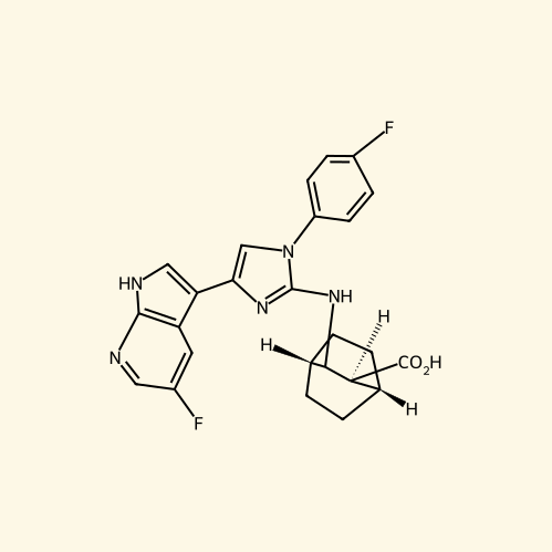 O=C(O)[C@@H]1C(Nc2nc(-c3c[nH]c4ncc(F)cc34)cn2-c2ccc(F)cc2)[C@H]2CC[C@@H]1CC2